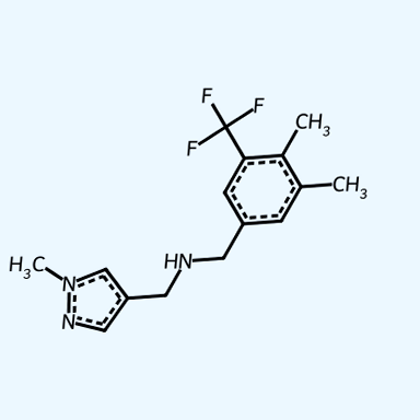 Cc1cc(CNCc2cnn(C)c2)cc(C(F)(F)F)c1C